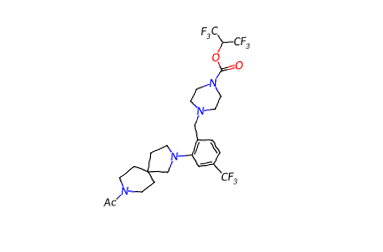 CC(=O)N1CCC2(CC1)CCN(c1cc(C(F)(F)F)ccc1CN1CCN(C(=O)OC(C(F)(F)F)C(F)(F)F)CC1)C2